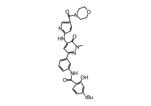 Cn1nc(-c2cccc(NC(=O)c3ccc(C(C)(C)C)cc3O)c2)cc(Nc2ccc(C(=O)N3CCOCC3)cn2)c1=O